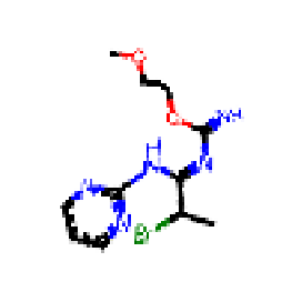 COCCOC(=N)/N=C(\Nc1ncccn1)C(C)Br